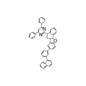 C1=CCC(c2cc(-c3ccccc3)nc(C3CC4c5cc(-c6cccc(-c7cccc8ccccc78)c6)ccc5OC4c4ccccc43)n2)C=C1